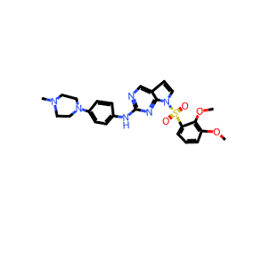 COc1cccc(S(=O)(=O)n2ccc3cnc(Nc4ccc(N5CCN(C)CC5)cc4)nc32)c1OC